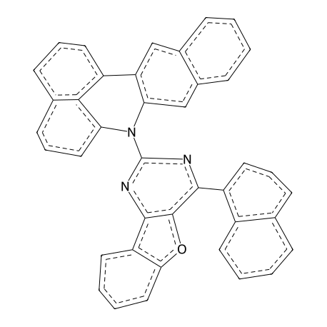 c1ccc2cc3c(cc2c1)-c1cccc2cccc(c12)N3c1nc(-c2cccc3ccccc23)c2oc3ccccc3c2n1